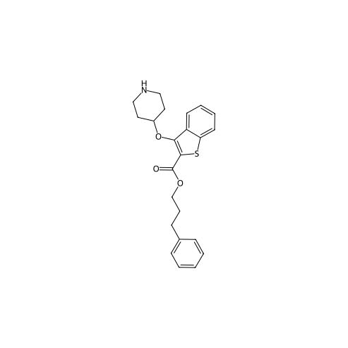 O=C(OCCCc1ccccc1)c1sc2ccccc2c1OC1CCNCC1